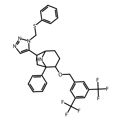 FC(F)(F)c1cc(COC2CCC3NC2(c2ccccc2)CC3c2cnnn2CSc2ccccc2)cc(C(F)(F)F)c1